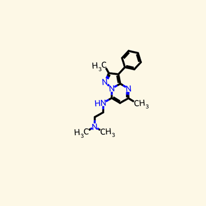 Cc1cc(NCCN(C)C)n2nc(C)c(-c3ccccc3)c2n1